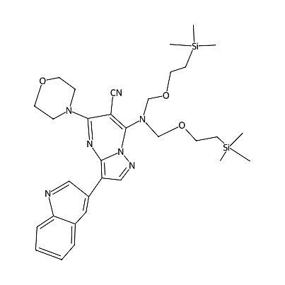 C[Si](C)(C)CCOCN(COCC[Si](C)(C)C)c1c(C#N)c(N2CCOCC2)nc2c(-c3cnc4ccccc4c3)cnn12